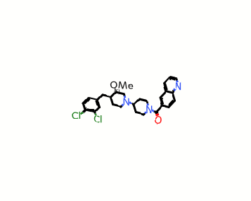 CO[C@@H]1CN(C2CCN(C(=O)c3ccc4ncccc4c3)CC2)CCC1Cc1ccc(Cl)c(Cl)c1